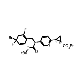 CCOC(=O)[C@H]1C[C@@H]1c1ccc(N(CC2=C(F)CC(F)(Br)C=C2)C(=O)OC(C)(C)C)cn1